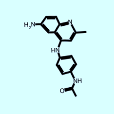 CC(=O)Nc1ccc(Nc2cc(C)nc3ccc(N)cc23)cc1